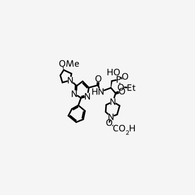 CCOP(=O)(O)C[C@H](NC(=O)c1cc(N2CC[C@H](OC)C2)nc(-c2ccccc2)n1)C(=O)N1CCN(OC(=O)O)CC1